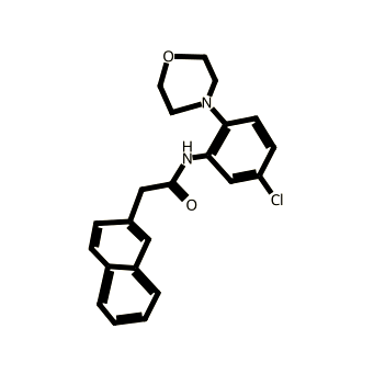 O=C(Cc1ccc2ccccc2c1)Nc1cc(Cl)ccc1N1CCOCC1